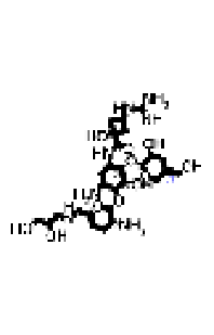 N=C(N)NC1CC(O)(C(=O)N[C@@H]2C[C@H](N)C(O[C@H]3OC(CNCC(O)CO)=CC[C@H]3N)[C@H](O)[C@H]2O[C@H]2OC/C(=C/O)C[C@H]2O)C1